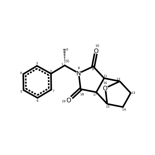 C[C@@H](c1ccccc1)N1C(=O)C2C3CCC(O3)C2C1=O